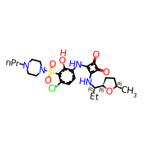 CCCN1CCN(S(=O)(=O)c2c(Cl)ccc(Nc3c(N[C@H](CC)[C@H]4CC[C@@H](C)O4)c(=O)c3=O)c2O)CC1